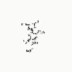 CC(C)Sc1cc(NCCO)c([N+](=O)[O-])cc1N(CCO)CCO